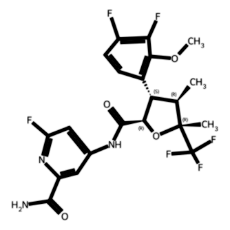 COc1c([C@@H]2[C@@H](C)[C@](C)(C(F)(F)F)O[C@H]2C(=O)Nc2cc(F)nc(C(N)=O)c2)ccc(F)c1F